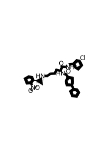 O=C(NC(CCCCN[C@@H]1C[C@H]1c1ccccc1[N+](=O)[O-])C(=O)NCc1cccc(Cl)c1)c1ccc(-c2ccccc2)cc1